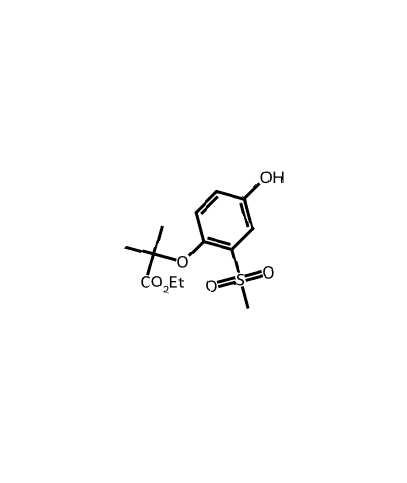 CCOC(=O)C(C)(C)Oc1ccc(O)cc1S(C)(=O)=O